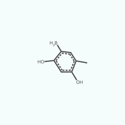 Bc1cc(C)c(O)cc1O